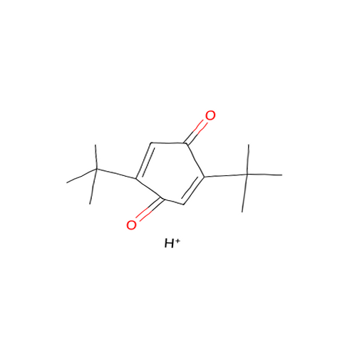 CC(C)(C)C1=CC(=O)C(C(C)(C)C)=CC1=O.[H+]